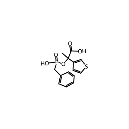 CC(OP(=O)(O)Cc1ccccc1)(C(=O)O)c1ccsc1